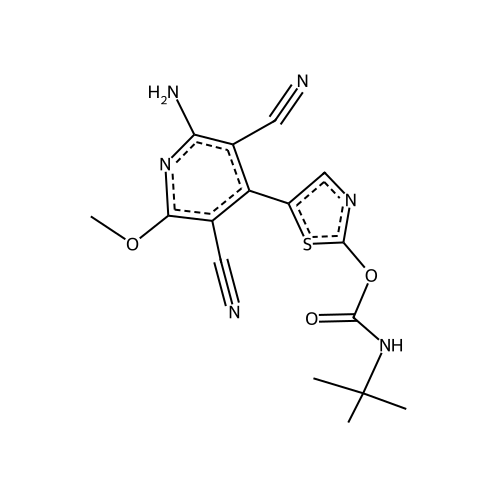 COc1nc(N)c(C#N)c(-c2cnc(OC(=O)NC(C)(C)C)s2)c1C#N